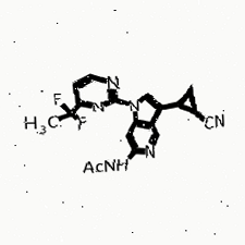 CC(=O)Nc1cc2c(cn1)c(C1CC1C#N)cn2-c1nccc(C(C)(F)F)n1